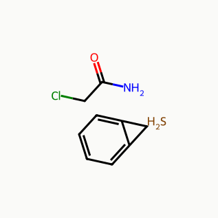 NC(=O)CCl.S.c1ccc2c(c1)C2